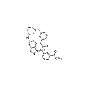 COC(=O)c1cccc(NC(=O)Cc2cccc(CN3CCCC(Nc4ccc5[nH]ncc5c4)C3)c2)c1